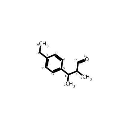 CCc1ccc(C(C)C(C)C=O)cc1